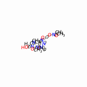 Cc1c(N(C(=O)c2cc(-c3cc4c(cc3C(=O)N3Cc5ccccc5C[C@H]3CN3CCCCC3)CN(C(=O)Cc3ccc(OCCN5CCOC(C)(C)C5)cc3)CC4)n(C)c2C)c2ccc(O)cc2)cc(C#N)n1C